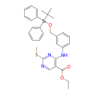 CCOC(=O)c1cnc(SC)nc1Nc1cccc(CO[Si](c2ccccc2)(c2ccccc2)C(C)(C)C)c1